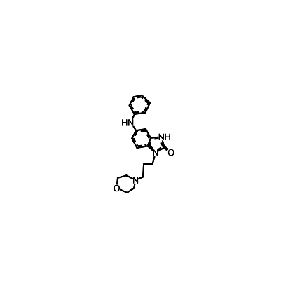 O=c1[nH]c2cc(Nc3ccccc3)ccc2n1CCCN1CCOCC1